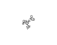 Cc1cnc(-c2cc(OC[C@H]3COCC(=O)N3C)cc(C(=O)O)c2)s1